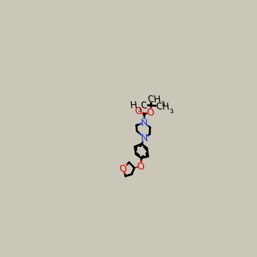 CC(C)(C)OC(=O)N1CCN(c2ccc(O[C@H]3CCOC3)cc2)CC1